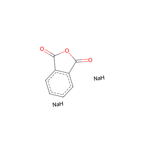 O=C1OC(=O)c2ccccc21.[NaH].[NaH]